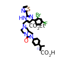 CCOC(=O)C1=C(CN2CCN3C(=O)N(c4ccc(/C(C)=C/C(=O)O)cc4)CC3C2)NC(c2nccs2)=NC1c1ccc(F)cc1Br